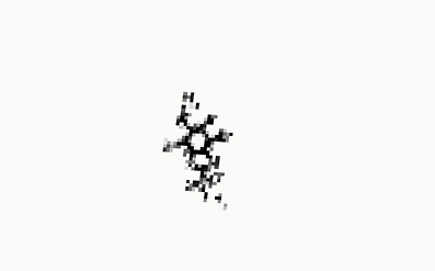 COc1c(Br)c(Br)c2nc(S(C)(=O)=O)sc2c1Br